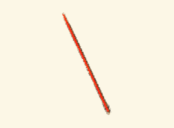 S=S=S=S=S=S=S=S=S=S=S=S=S=S=S=S=S=S=S=S=S=S=S=S=S=S=S=S=S=S=S=S=S=S=S=S=S=S=S=S=S=S=S=S=S=S=S=S=S=S=S=S=S=S=S=S=S=S=S=S=S=S=S=S=S=S=S=S=S=S=S=S=S=S=S=S=S=S=S=S=S=S=S=S=S=S=S=S=S=S=S=S=S=S=S=S=S=S=S=S=S=S=S=S=S=S=S=S=S=S=S